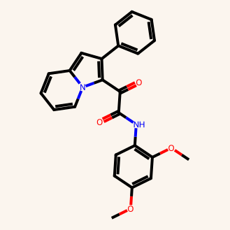 COc1ccc(NC(=O)C(=O)c2c(-c3ccccc3)cc3ccccn23)c(OC)c1